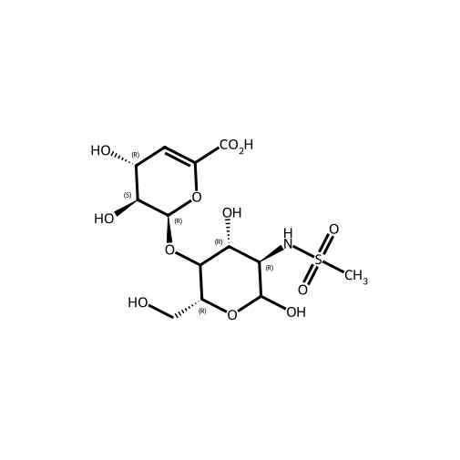 CS(=O)(=O)N[C@H]1C(O)O[C@H](CO)C(O[C@@H]2OC(C(=O)O)=C[C@@H](O)[C@@H]2O)[C@@H]1O